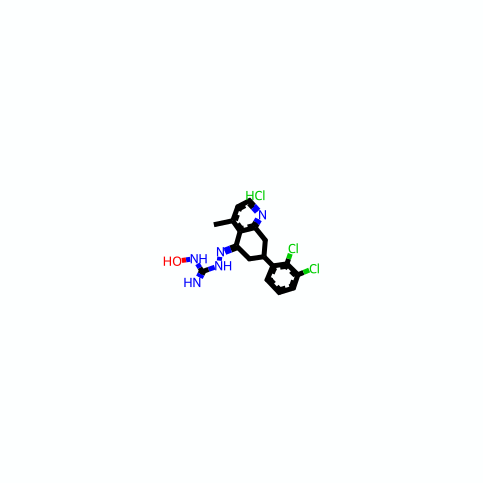 Cc1ccnc2c1C(=NNC(=N)NO)CC(c1cccc(Cl)c1Cl)C2.Cl